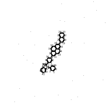 c1ccc(-n2c(-c3ccc(-c4cc5ccc6cc(-c7ccc8ccccc8c7)cc7ccc(c4)c5c67)cc3)nc3ccccc32)cc1